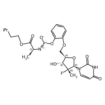 CC(C)CCOC(=O)[C@H](C)/N=[P+](\[O-])Oc1ccccc1OC[C@H]1O[C@@H](n2ccc(=O)[nH]c2=O)[C@](C)(F)[C@@H]1O